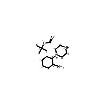 CC(C)(C)OC=O.NC1CCCCC1N1CCNCC1